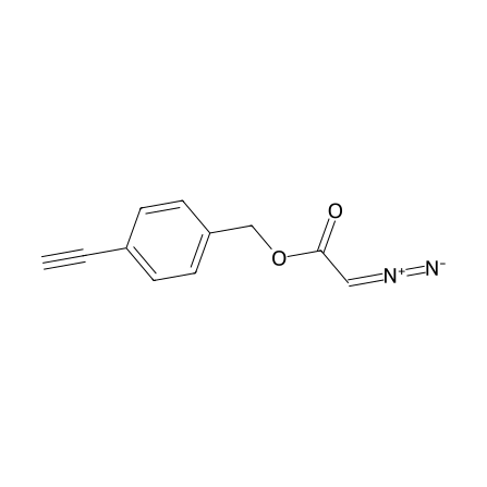 C#Cc1ccc(COC(=O)C=[N+]=[N-])cc1